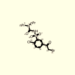 CCCN(CCC)C(=O)NS(=O)(=O)c1cc(C(=O)CBr)ccc1Cl